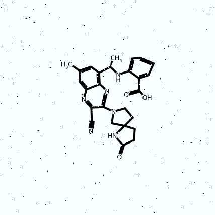 Cc1cc([C@@H](C)Nc2ccccc2C(=O)O)c2nc(N3CCC4(CCC(=O)N4)C3)c(C#N)nc2c1